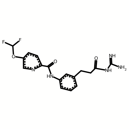 N=C(N)NC(=O)CCc1cccc(NC(=O)c2ccc(OC(F)F)cn2)c1